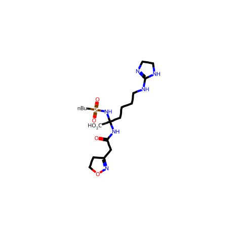 CCCCS(=O)(=O)NC(CCCCNC1=NCCN1)(NC(=O)CC1=NOCC1)C(=O)O